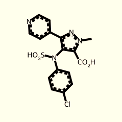 Cn1nc(-c2ccncc2)c(N(c2ccc(Cl)cc2)S(=O)(=O)O)c1C(=O)O